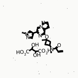 C=CC(=O)N(C)C1CC(C)(Oc2nc(-c3cnn(C)c3)cn3nccc23)C1.O=C(O)C(O)C(O)C(=O)O